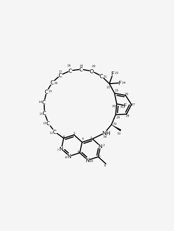 Cc1nc2c3cc(nnc3n1)CCCCCCCCCOCC(F)(F)c1cccc(c1F)[C@@H](C)N2